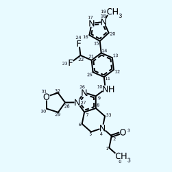 CCC(=O)N1CCc2c(c(Nc3ccc(-c4cnn(C)c4)c(C(F)F)c3)nn2C2CCOC2)C1